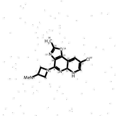 CNC1CN(C2=NC3NC=C(Cl)C=C3c3oc(C)nc32)C1